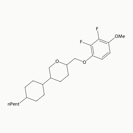 CCCCCC1CCC(C2CCC(COc3ccc(OC)c(F)c3F)OC2)CC1